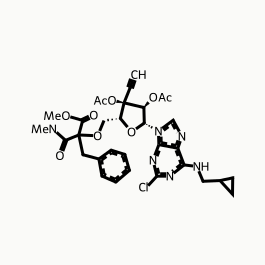 C#C[C@@]1(OC(C)=O)[C@@H](COC(Cc2ccccc2)(C(=O)NC)C(=O)OC)O[C@@H](n2cnc3c(NCC4CC4)nc(Cl)nc32)[C@@H]1OC(C)=O